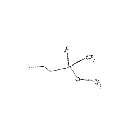 FC(F)(F)OC(F)(CCI)C(F)(F)F